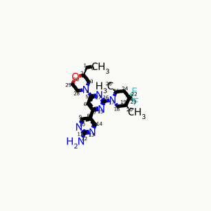 CC[C@H]1CN(c2cc(-c3cnc(N)nc3)nc(N3C[C@@H](C)C(F)(F)C[C@H]3C)n2)CCO1